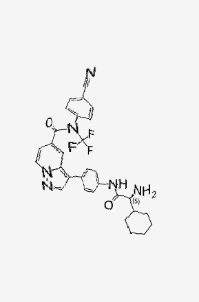 N#Cc1ccc(N(C(=O)c2ccn3ncc(-c4ccc(NC(=O)[C@@H](N)C5CCCCC5)cc4)c3c2)C(F)(F)F)cc1